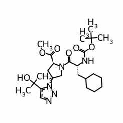 COC(=O)[C@@H]1C[C@H](n2nncc2C(C)(C)O)CN1C(=O)[C@@H](CC1CCCCC1)NC(=O)OC(C)(C)C